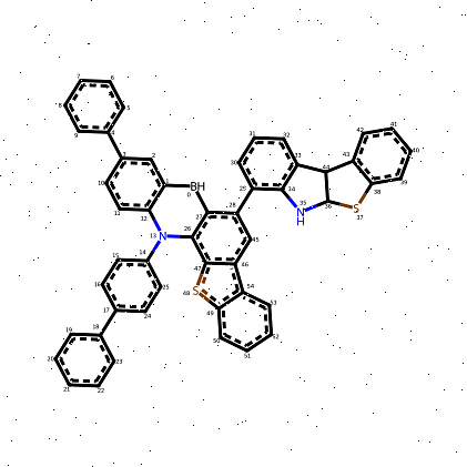 B1c2cc(-c3ccccc3)ccc2N(c2ccc(-c3ccccc3)cc2)c2c1c(-c1cccc3c1NC1Sc4ccccc4C31)cc1c2sc2ccccc21